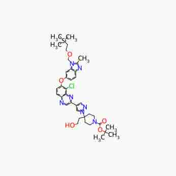 Cc1nc2ccc(Oc3ccc4ncc(-c5cnn(C6(CCO)CCN(C(=O)OC(C)(C)C)CC6)c5)nc4c3Cl)cc2n1COCC[Si](C)(C)C